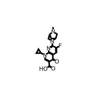 CN1CC2CC1CN2c1nc2c(cc1F)c(=O)c(C(=O)O)cn2C1CC1